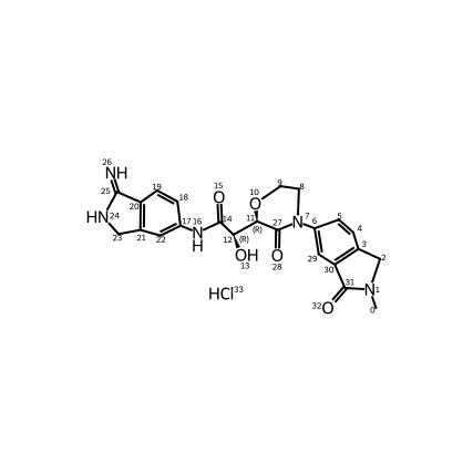 CN1Cc2ccc(N3CCO[C@H]([C@@H](O)C(=O)Nc4ccc5c(c4)CNC5=N)C3=O)cc2C1=O.Cl